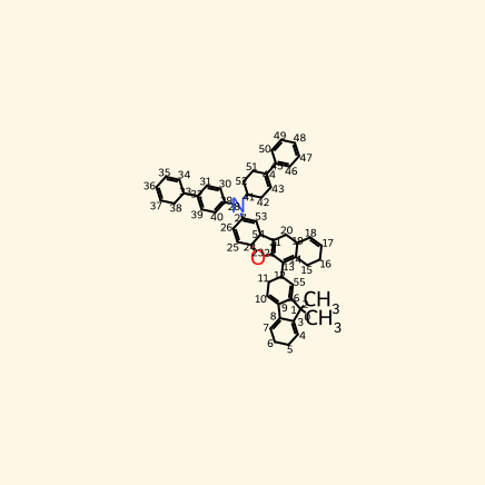 CC1(C)C2=CCCC=C2C2=CCC(C3=C4CCC=CC4CC4=C3OC3C=CC(N(c5ccc(C6C=CC=CC6)cc5)C5CC=C(c6ccccc6)CC5)=CC43)C=C21